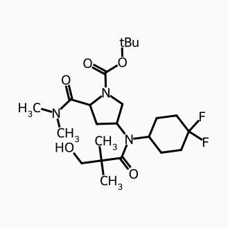 CN(C)C(=O)C1CC(N(C(=O)C(C)(C)CO)C2CCC(F)(F)CC2)CN1C(=O)OC(C)(C)C